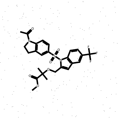 COC(=O)C(C)(C)OCc1cc2cc(C(F)(F)F)ccc2n1S(=O)(=O)c1ccc2c(c1)CCN2C(C)=O